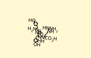 N=C(N)NCCC[C@H](NC(=O)N[C@@H](Cc1ccc(O)cc1)c1nc([C@@H](N)Cc2ccc(O)cc2)no1)C(=O)O